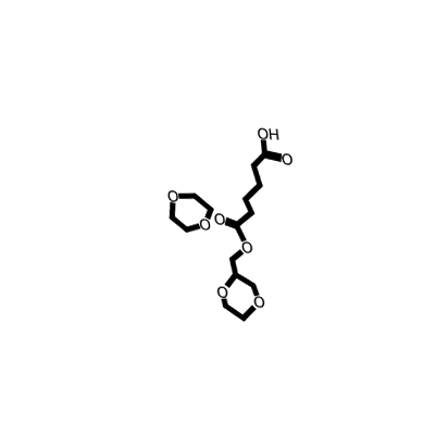 C1COCCO1.O=C(O)CCCCC(=O)OCC1COCCO1